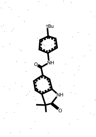 CC(C)(C)c1ccc(NC(=O)c2ccc3c(c2)NC(=O)C3(C)C)cc1